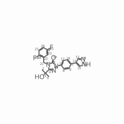 CC(C)(O)c1nn(-c2ccc(-c3cn[nH]c3)cc2)c(=O)n1Cc1cc(F)ccc1F